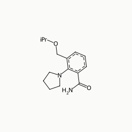 CC(C)OCc1cccc(C(N)=O)c1N1CCCC1